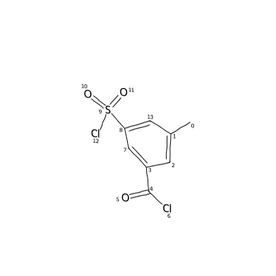 Cc1cc(C(=O)Cl)cc(S(=O)(=O)Cl)c1